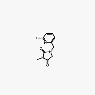 CN1C(=O)CN(Cc2cccc(F)n2)C1=O